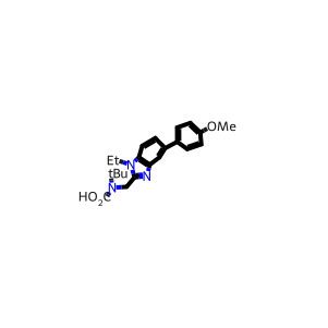 CCn1c(CN(C(=O)O)C(C)(C)C)nc2cc(-c3ccc(OC)cc3)ccc21